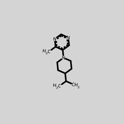 Cc1ncncc1N1CCC(C(C)C)CC1